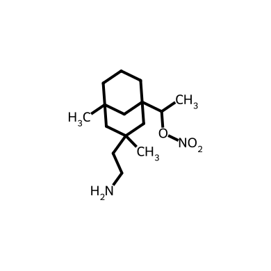 CC(O[N+](=O)[O-])C12CCCC(C)(CC(C)(CCN)C1)C2